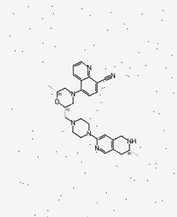 C[C@@H]1Cc2cnc(N3CCN(C[C@H]4CN(c5ccc(C#N)c6ncccc56)C[C@@H](C)O4)CC3)cc2CN1